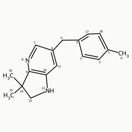 Cc1ccc(Cc2cnc3c(c2)NCC3(C)C)cc1